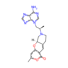 Cc1cc2c(c(=O)o1)C=C1CCN([C@H](C)Cn3cnc(N)c4ncnc3-4)C[C@@H]1O2